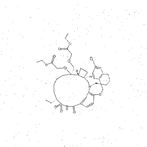 CCOC(=O)COC[C@@]1(OCC(=O)OCC)CCCC[C@@H](CC)S(=O)(=O)NC(=O)c2ccc3c(c2)N(C[C@@H]2CC[C@H]21)C[C@@]1(CCCc2cc(Cl)ccc21)CO3